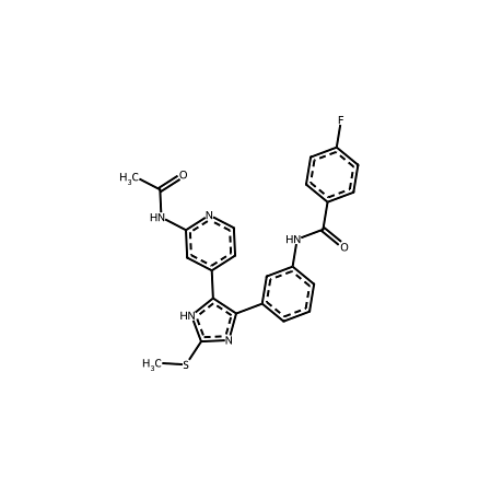 CSc1nc(-c2cccc(NC(=O)c3ccc(F)cc3)c2)c(-c2ccnc(NC(C)=O)c2)[nH]1